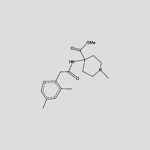 COC(=O)C1(NC(=O)Cc2ccc(C)cc2C)CCN(C)CC1